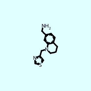 NCc1ccc2c(c1)N(Cc1cscn1)CCC2